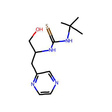 CC(C)(C)NC(=S)NC(CO)Cc1cnccn1